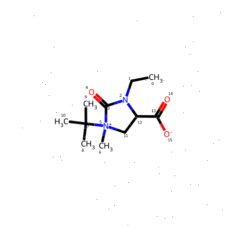 CCN1C(=O)[N+](C)(C(C)(C)C)CC1C(=O)[O-]